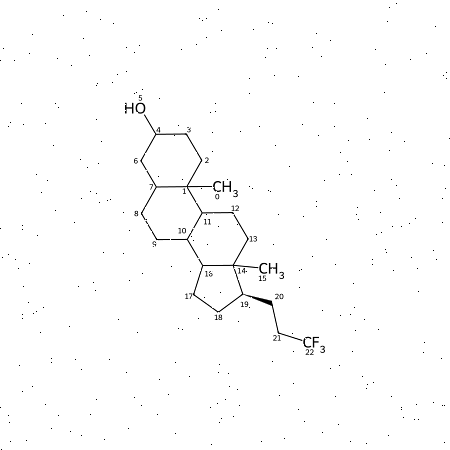 CC12CCC(O)CC1CCC1C2CCC2(C)C1CC[C@@H]2CCC(F)(F)F